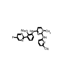 COc1c(NC2=NC(Nc3cccc(C#N)n3)N(C)C=C2)cccc1-c1ncc(F)cn1